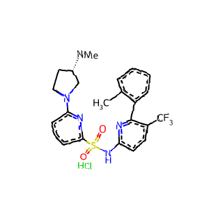 CN[C@H]1CCN(c2cccc(S(=O)(=O)Nc3ccc(C(F)(F)F)c(-c4ccccc4C)n3)n2)C1.Cl